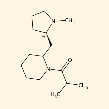 CC(C)C(=O)N1CCCCC1C[C@H]1CCCN1C